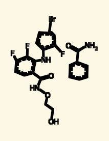 NC(=O)c1ccccc1.O=C(NOCCO)c1ccc(F)c(F)c1Nc1ccc(Br)cc1F